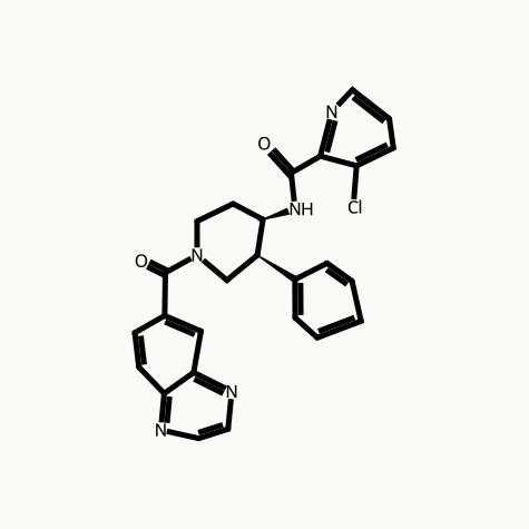 O=C(N[C@@H]1CCN(C(=O)c2ccc3nccnc3c2)C[C@@H]1c1ccccc1)c1ncccc1Cl